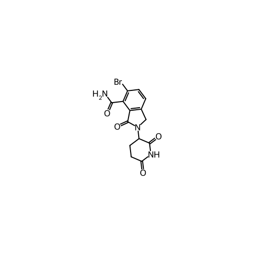 NC(=O)c1c(Br)ccc2c1C(=O)N(C1CCC(=O)NC1=O)C2